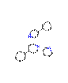 c1ccc(-c2ccnc(-c3cc(-c4ccccc4)ccn3)c2)cc1.c1ccncc1